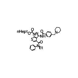 CCCCCCCOC(=O)n1nc(NC(=O)c2ccc(CN3CCCCC3)cc2)c2c(C(=O)N(CC)c3ccccc3)csc21